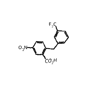 O=C(O)c1cc([N+](=O)[O-])ccc1Cc1cccc(C(F)(F)F)c1